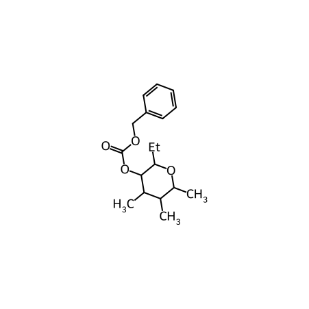 CCC1OC(C)C(C)C(C)C1OC(=O)OCc1ccccc1